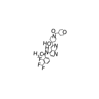 C[C@@H](Nc1ccnc2cnc(C3(O)CCN(C(=O)C4CCOCC4)CC3)cc12)c1cccc(C(F)F)c1F